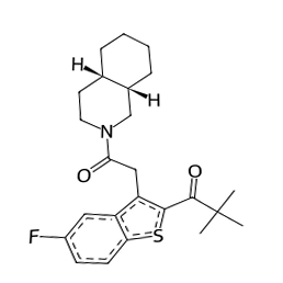 CC(C)(C)C(=O)c1sc2ccc(F)cc2c1CC(=O)N1CC[C@@H]2CCCC[C@@H]2C1